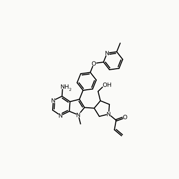 C=CC(=O)N1CC(CO)C(c2c(-c3ccc(Oc4cccc(C)n4)cc3)c3c(N)ncnc3n2C)C1